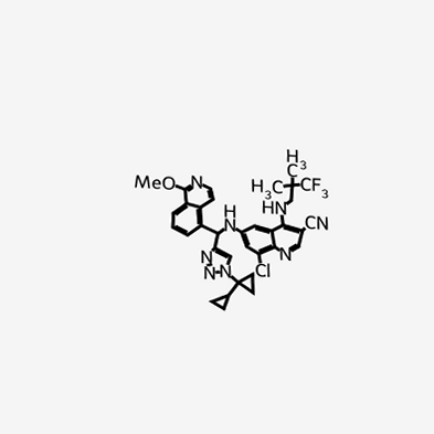 COc1nccc2c(C(Nc3cc(Cl)c4ncc(C#N)c(NCC(C)(C)C(F)(F)F)c4c3)c3cn(C4(C5CC5)CC4)nn3)cccc12